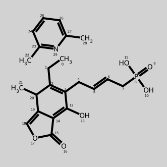 CCC1=C(CC=CCP(=O)(O)O)C(O)=C2C(=O)OC=C2C1C.Cc1cccc(C)n1